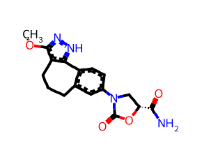 COc1n[nH]c2c1CCCc1cc(N3C[C@H](C(N)=O)OC3=O)ccc1-2